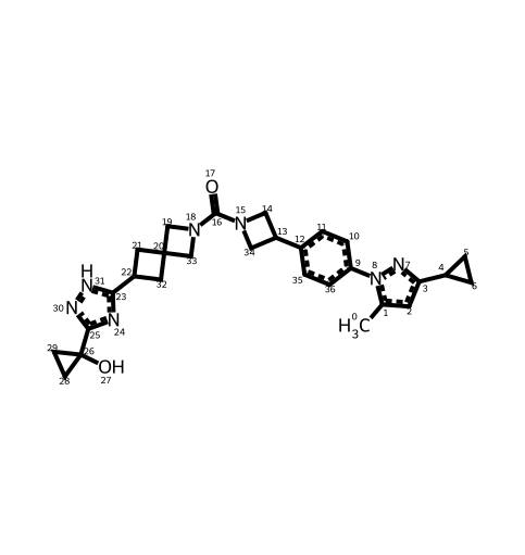 Cc1cc(C2CC2)nn1-c1ccc(C2CN(C(=O)N3CC4(CC(c5nc(C6(O)CC6)n[nH]5)C4)C3)C2)cc1